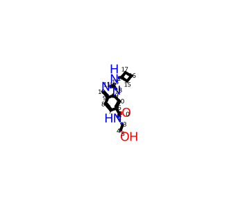 O=C(NCCO)c1ccc2cnc(NC3CCC3)nc2c1